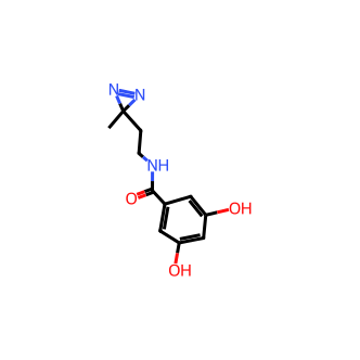 CC1(CCNC(=O)c2cc(O)cc(O)c2)N=N1